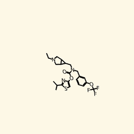 CCN1CC2C(C1)C2CN(Cc1cccc(OC(F)(F)F)c1)C(=O)Oc1csc(C(C)C)n1